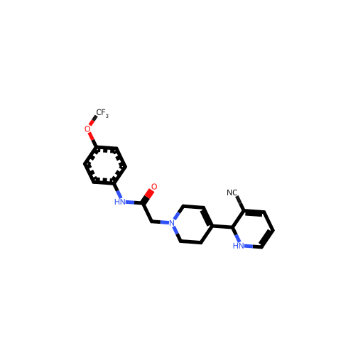 N#CC1=CC=CNC1C1=CCN(CC(=O)Nc2ccc(OC(F)(F)F)cc2)CC1